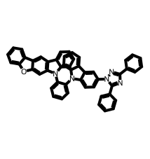 c1ccc(-c2nc(-c3ccccc3)n(-c3ccc4c(c3)c3ccccc3n4-c3ccccc3-n3c4ccccc4c4cc5c(cc43)oc3ccccc35)n2)cc1